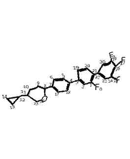 Fc1cc(-c2ccc(C3CCC(C4CC4)CO3)cc2)ccc1-c1cc(F)c(F)c(F)c1